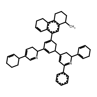 CC1CCCc2c1cc(C1=CC(C3CC=C(C4C=CCCC4)C=N3)=CC(C3=CC(c4ccccc4)=NC(C4=CCCC=C4)C3)C1)c1c2CCC=C1